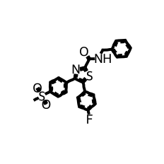 CS(=O)(=O)c1ccc(-c2nc(C(=O)NCc3ccccc3)sc2-c2ccc(F)cc2)cc1